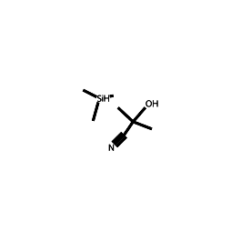 CC(C)(O)C#N.C[SiH](C)C